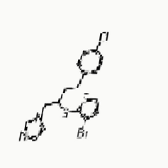 Clc1ccc(CCC(Cn2ccnc2)Sc2sccc2Br)cc1